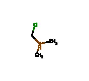 C[SH](C)CCl